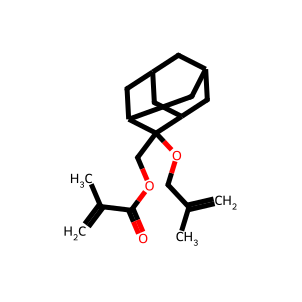 C=C(C)COC1(COC(=O)C(=C)C)C2CC3CC(C2)CC1C3